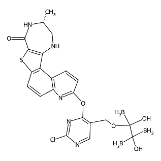 BC(B)(O)C(B)(O)OCc1cnc(Cl)nc1Oc1ccc2c(ccc3sc4c(c32)NC[C@@H](C)NC4=O)n1